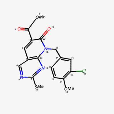 COC(=O)c1cc2cnc(SC)nc2n(Cc2ccc(OC)c(Cl)c2)c1=O